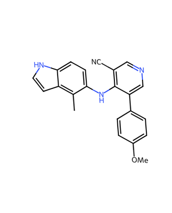 COc1ccc(-c2cncc(C#N)c2Nc2ccc3[nH]ccc3c2C)cc1